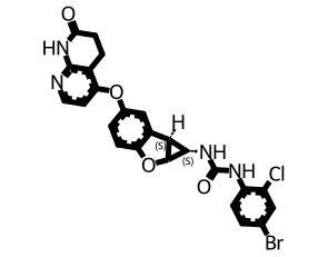 O=C1CCc2c(Oc3ccc4c(c3)[C@@H]3C(O4)[C@H]3NC(=O)Nc3ccc(Br)cc3Cl)ccnc2N1